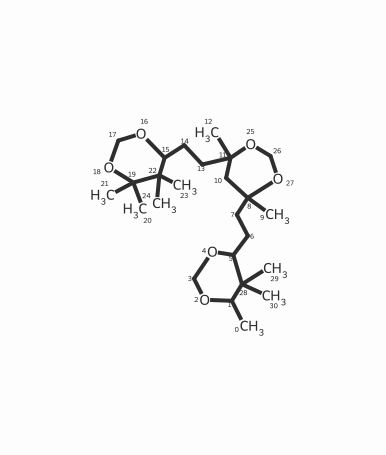 CC1OCOC(CCC2(C)CC(C)(CCC3OCOC(C)(C)C3(C)C)OCO2)C1(C)C